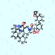 O=C([C@H](O)c1cccc(-c2cccc(OC(F)(F)F)c2)c1)N1CCCc2nc(C3(c4cccc(C5CCCCC5)c4)CC3)[nH]c(=O)c2C1